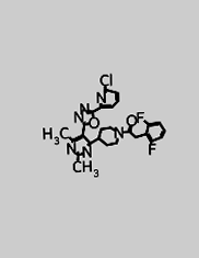 Cc1nc(C)c(-c2nnc(-c3cccc(Cl)n3)o2)c(C2CCN(C(=O)Cc3c(F)cccc3F)CC2)n1